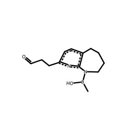 CB(O)N1CCCCc2ccc(CCC=O)nc21